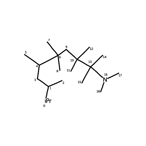 CC(C)C(C)CC(C)C(C)(C)CC(C)(C)C(C)(C)N(C)C